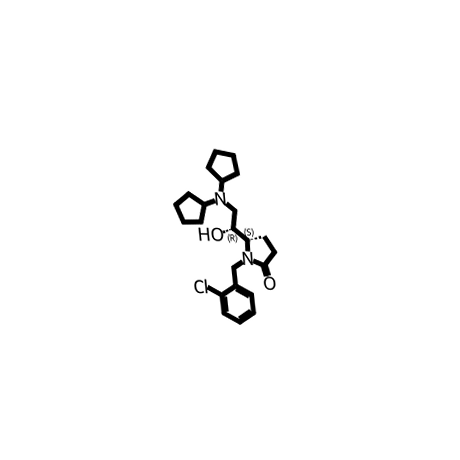 O=C1CC[C@@H]([C@H](O)CN(C2CCCC2)C2CCCC2)N1Cc1ccccc1Cl